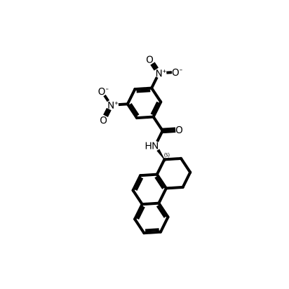 O=C(N[C@H]1CCCc2c1ccc1ccccc21)c1cc([N+](=O)[O-])cc([N+](=O)[O-])c1